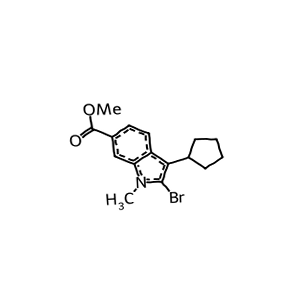 COC(=O)c1ccc2c(C3CCCC3)c(Br)n(C)c2c1